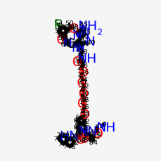 CNCC(=O)N[C@@H](C(=O)N1Cc2cc(OCCOCCOCCOCCOCCC(=O)NCCn3nc4c(c3C#N)-c3cnc(N)c(n3)O[C@H](C)c3cc(F)ccc3C(=O)N(C)C4)ccc2C[C@@H]1C(=O)N[C@H]1CCCc2ccccc21)C(C)(C)C